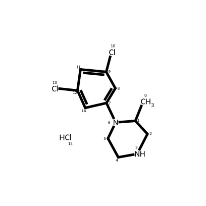 CC1CNCCN1c1cc(Cl)cc(Cl)c1.Cl